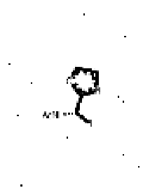 CC(=O)N[C@@H](I)c1ncco1